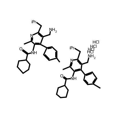 Cc1ccc(-c2c(CN)c(CC(C)C)nc(C)c2NC(=O)C2CCCCC2)cc1.Cc1ccc(-c2c(CN)c(CC(C)C)nc(C)c2NC(=O)C2CCCCC2)cc1.Cl.Cl.Cl.Cl